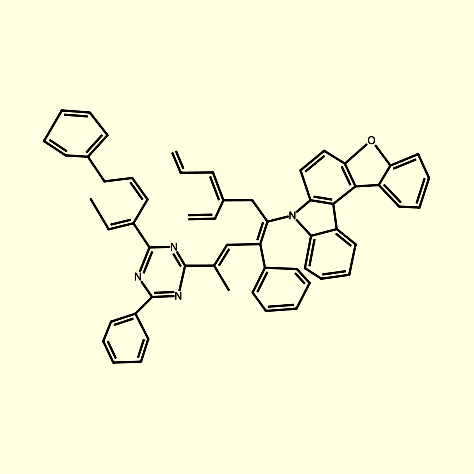 C=C/C=C(\C=C)C/C(=C(\C=C(/C)c1nc(C(/C=C\Cc2ccccc2)=C/C)nc(-c2ccccc2)n1)c1ccccc1)n1c2ccccc2c2c3c(ccc21)oc1ccccc13